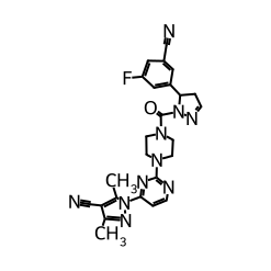 Cc1nn(-c2ccnc(N3CCN(C(=O)N4N=CCC4c4cc(F)cc(C#N)c4)CC3)n2)c(C)c1C#N